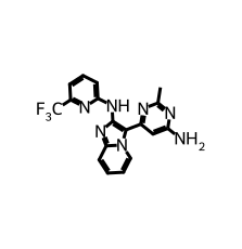 Cc1nc(N)cc(-c2c(Nc3cccc(C(F)(F)F)n3)nc3ccccn23)n1